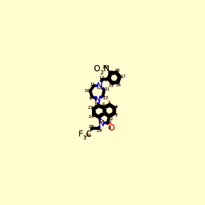 O=C1c2cccc3c(N4CCCN(Cc5ccccc5[N+](=O)[O-])CC4)ccc(c23)N1CCC(F)(F)F